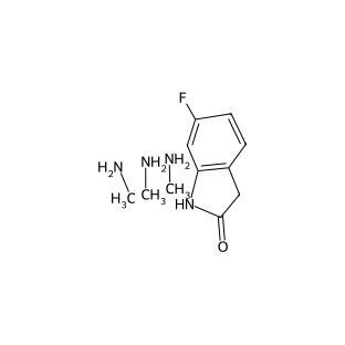 CN.CN.CN.O=C1Cc2ccc(F)cc2N1